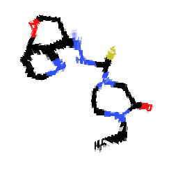 CCN1CCN(C(=S)N/N=C2/CCOc3cccnc32)CC1=O